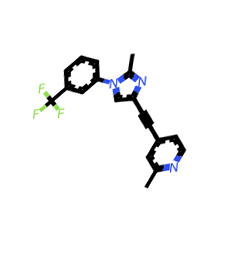 Cc1cc(C#Cc2cn(-c3cccc(C(F)(F)F)c3)c(C)n2)ccn1